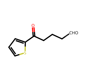 O=CCCCC(=O)c1cccs1